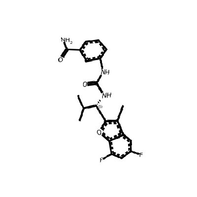 Cc1c([C@@H](NC(=O)Nc2cccc(C(N)=O)c2)C(C)C)oc2c(F)cc(F)cc12